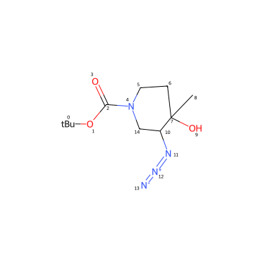 CC(C)(C)OC(=O)N1CCC(C)(O)C(N=[N+]=[N-])C1